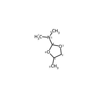 CC1COC(N(C)C)O1